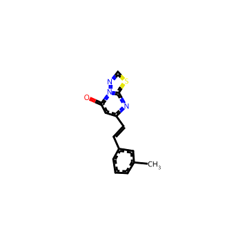 Cc1cccc(/C=C/c2cc(=O)n3ncsc3n2)c1